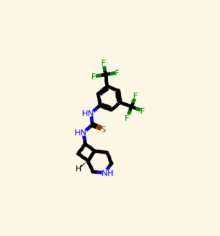 FC(F)(F)c1cc(NC(=S)NC2C[C@@H]3CNCCC23)cc(C(F)(F)F)c1